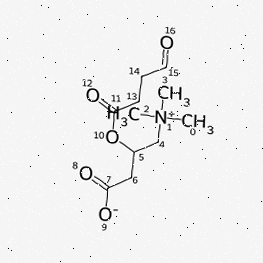 C[N+](C)(C)CC(CC(=O)[O-])OC(=O)CC[C]=O